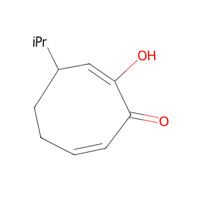 CC(C)C1/C=C(/O)C(=O)/C=C\CC1